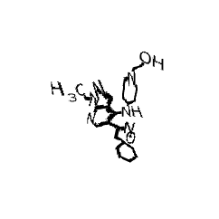 CCn1ncc2c(NC3CCN(CCO)CC3)c(C3=NOC4(CCCCC4)C3)cnc21